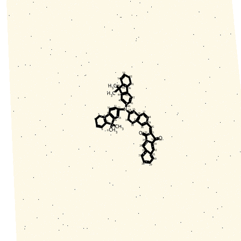 CC1(C)C2=C(CCC=C2)c2ccc(N(C3=Cc4ccc(C=C5C(=O)c6cc7ccccc7cc6C5=O)cc4CC3)c3ccc4c(c3)C(C)(C)C3=C4CCC=C3)cc21